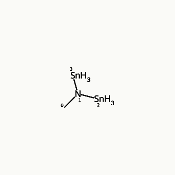 C[N]([SnH3])[SnH3]